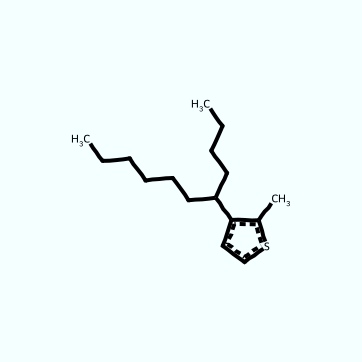 CCCCCCC(CCCC)c1ccsc1C